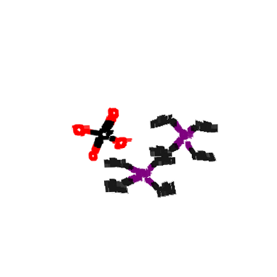 CCCC[P+](CCCC)(CCCC)CCCC.CCCC[P+](CCCC)(CCCC)CCCC.[O]=[Cr](=[O])([O-])[O-]